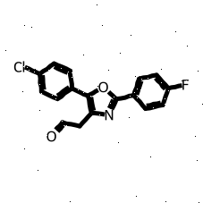 O=CCc1nc(-c2ccc(F)cc2)oc1-c1ccc(Cl)cc1